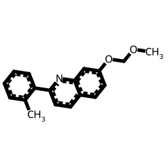 COCOc1ccc2ccc(-c3ccccc3C)nc2c1